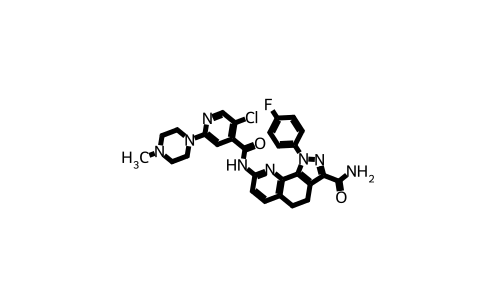 CN1CCN(c2cc(C(=O)Nc3ccc4c(n3)-c3c(c(C(N)=O)nn3-c3ccc(F)cc3)CC4)c(Cl)cn2)CC1